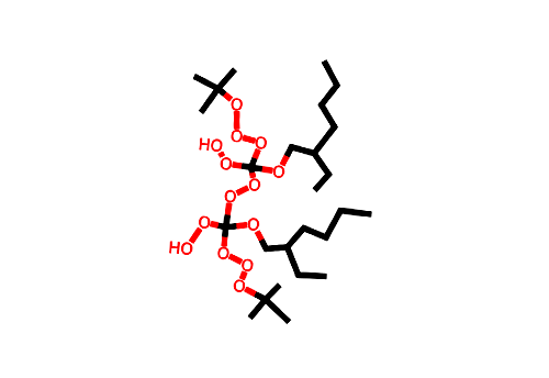 CCCCC(CC)COC(OO)(OOOC(C)(C)C)OOC(OO)(OCC(CC)CCCC)OOOC(C)(C)C